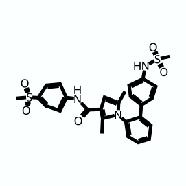 Cc1cc(C(=O)Nc2ccc(S(C)(=O)=O)cc2)c(C)n1-c1ccccc1-c1ccc(NS(C)(=O)=O)cc1